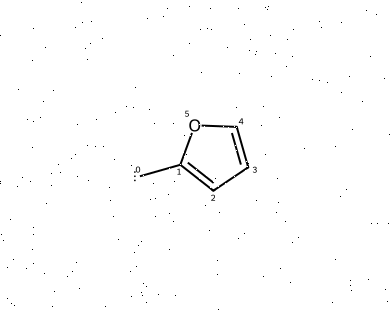 [C]c1ccco1